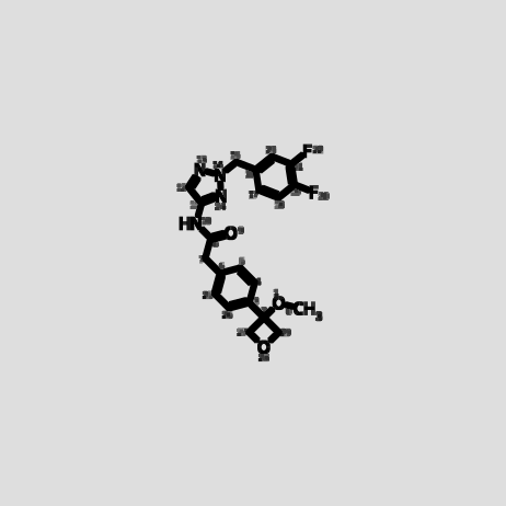 COC1(c2ccc(CC(=O)Nc3cnn(Cc4ccc(F)c(F)c4)n3)cc2)COC1